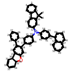 CC1(C)c2ccccc2-c2ccc(N(c3ccc(-c4cc5c(cc4-c4ccccc4)C4C=CC=CC4O5)cc3)c3ccc(-c4cccc5ccccc45)cc3)cc21